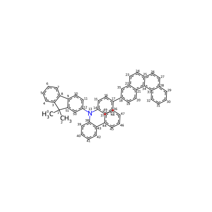 CC1(C)c2ccccc2-c2ccc(N(c3ccc(-c4ccc5c(ccc6ccc7ccccc7c65)c4)cc3)c3ccccc3-c3ccccc3)cc21